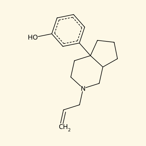 C=CCN1CCC2(c3cccc(O)c3)CCCC2C1